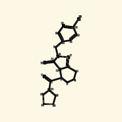 O=C(C1CCCc2nn(Cc3ccc(Cl)nc3)c(=O)n21)N1CCCC1